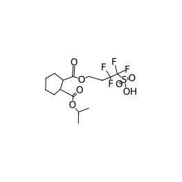 CC(C)OC(=O)C1CCCCC1C(=O)OCCC(F)(F)C(F)(F)S(=O)(=O)O